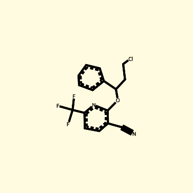 N#Cc1ccc(C(F)(F)F)nc1OC(CCCl)c1ccccc1